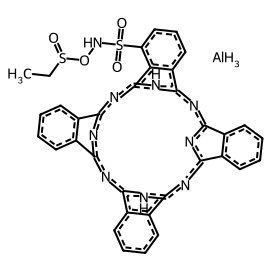 CCS(=O)ONS(=O)(=O)c1cccc2c3nc4nc(nc5[nH]c(nc6nc(nc([nH]3)c12)-c1ccccc1-6)c1ccccc51)-c1ccccc1-4.[AlH3]